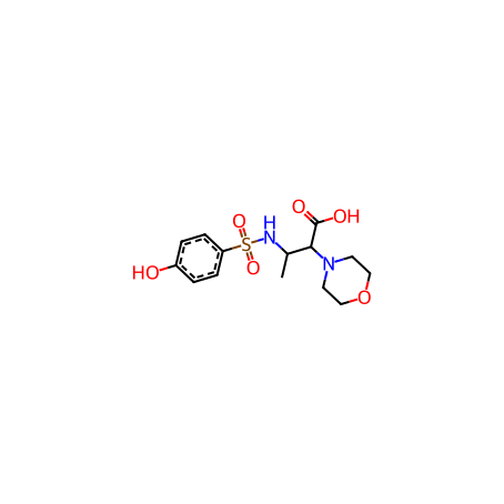 CC(NS(=O)(=O)c1ccc(O)cc1)C(C(=O)O)N1CCOCC1